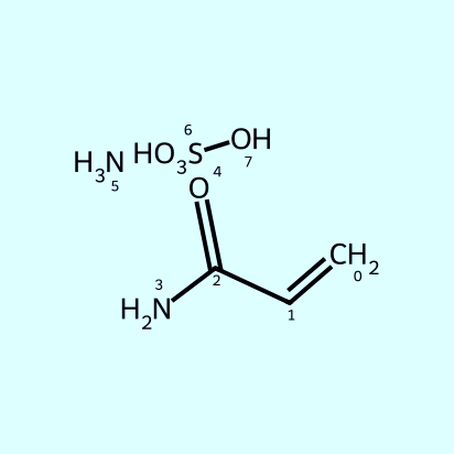 C=CC(N)=O.N.O=S(=O)(O)O